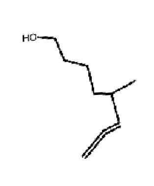 C=C=CC(C)CCCCO